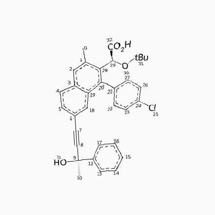 Cc1cc2ccc(C#C[C@](C)(O)c3ccccc3)cc2c(-c2ccc(Cl)cc2)c1[C@H](OC(C)(C)C)C(=O)O